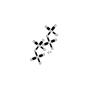 [C+4].[O]=[Cr](=[O])([O-])[O][Cr](=[O])(=[O])[O-].[O]=[Cr](=[O])([O-])[O][Cr](=[O])(=[O])[O-]